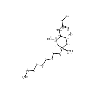 CC[C@@H]1O[C@@](OCCCSCCNN)(C(=O)O)C[C@H](O)C1NC(=O)CF